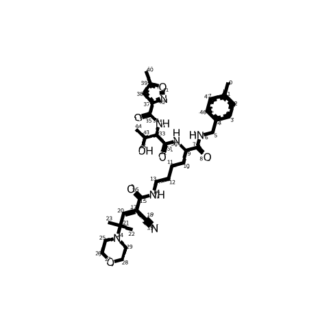 Cc1ccc(CNC(=O)C(CCCCNC(=O)C(C#N)=CC(C)(C)N2CCOCC2)NC(=O)C(NC(=O)c2cc(C)on2)C(C)O)cc1